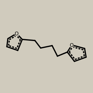 c1coc(CCCCc2ccco2)c1